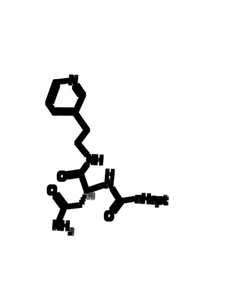 CCCCCCCC(=O)N[C@H](CC(N)=O)C(=O)NCCc1cccnc1